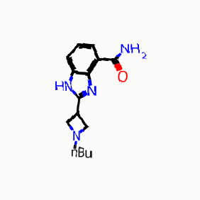 CCCCN1CC(c2nc3c(C(N)=O)cccc3[nH]2)C1